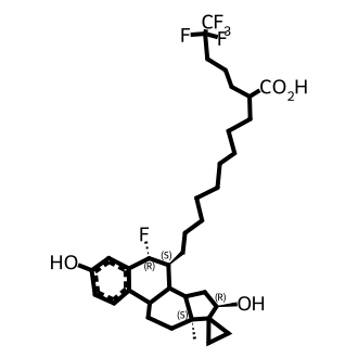 C[C@]12CCC3c4ccc(O)cc4[C@H](F)[C@@H](CCCCCCCCCC(CCCC(F)(F)C(F)(F)F)C(=O)O)C3C1C[C@@H](O)C21CC1